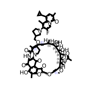 CO[C@H]1/C=C/O[C@@]2(C)Oc3c(C)c(O)c4c(c3C2=O)C(=O)C(N2CCC(OCC3CCN(c5c(F)cn6c(=O)c(C)cc(C7CC7)c6c5C)C3)CC2)=C(NC(=O)/C(C)=C\C=C\[C@H](C)[C@H](O)[C@@H](C)[C@@H](O)[C@@H](C)[C@H](OC(C)=O)[C@@H]1C)C4=O